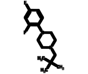 CC(C)(C)CN1CCN(c2ccc(F)cc2F)CC1